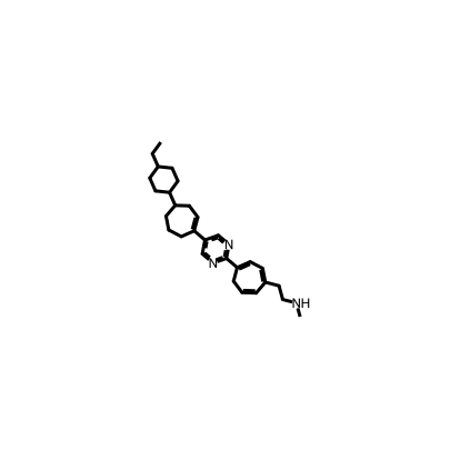 CCC1CCC(C2CC=C(c3cnc(C4=CC=C(CCNC)C=CC4)nc3)CCC2)CC1